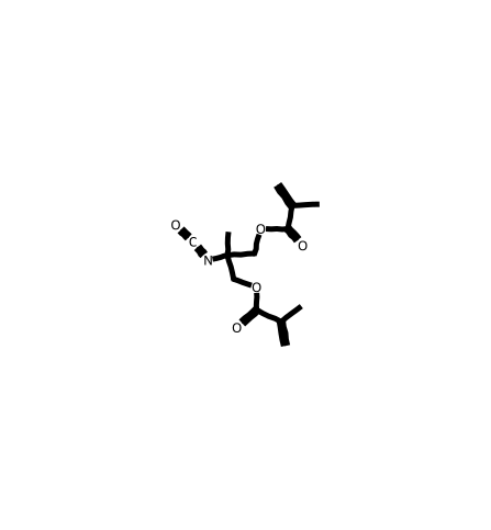 C=C(C)C(=O)OCC(C)(COC(=O)C(=C)C)N=C=O